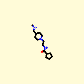 CNCC1CCN(CCNC(=O)C2CCCC2)CC1